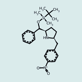 CC(C)(C)[Si](C)(C)OC(c1ccccc1)[C@H]1CC[C@@H](Cc2ccc([N+](=O)[O-])cc2)N1